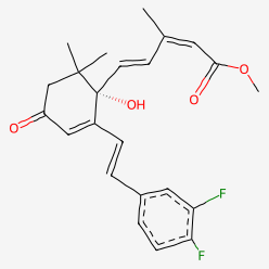 COC(=O)/C=C(C)\C=C\[C@@]1(O)C(/C=C/c2ccc(F)c(F)c2)=CC(=O)CC1(C)C